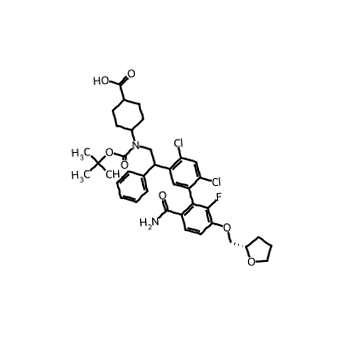 CC(C)(C)OC(=O)N(CC(c1ccccc1)c1cc(-c2c(C(N)=O)ccc(OC[C@@H]3CCCO3)c2F)c(Cl)cc1Cl)C1CCC(C(=O)O)CC1